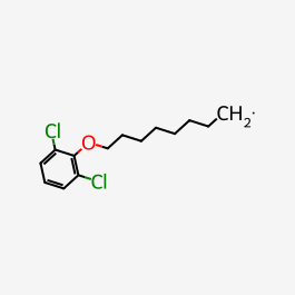 [CH2]CCCCCCCOc1c(Cl)cccc1Cl